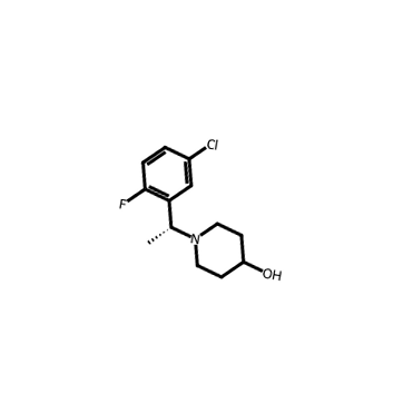 C[C@H](c1cc(Cl)ccc1F)N1CCC(O)CC1